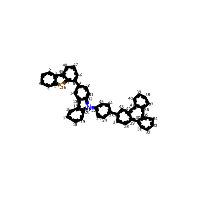 c1ccc2c(c1)sc1c(-c3ccc4c(c3)c3ccccc3n4-c3ccc(-c4ccc5c6ccccc6c6ccccc6c5c4)cc3)cccc12